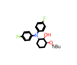 CCCCO[C@H]1CCC[C@H](N(c2ccc(F)cc2)c2ccc(F)cc2)[C@H]1O